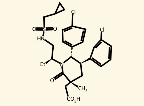 CC[C@@H](CNS(=O)(=O)CC1CC1)N1C(=O)[C@@](C)(CC(=O)O)C[C@H](c2cccc(Cl)c2)[C@H]1c1ccc(Cl)cc1